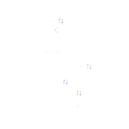 Cn1cnc(C2CN3CCC2CC3)n1